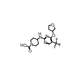 O=C(O)N1CCC(Nc2ncc(C(F)(F)F)c(OC3CCOC3)n2)CC1